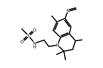 C=Nc1cc2c(cc1C)N(CCNS(C)(=O)=O)C(C)(C)CC2C